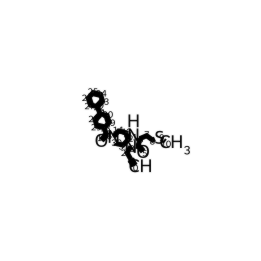 C#CCN1C(=O)C(CCSC)NC12CCN(C(=O)c1ccc(-c3ccccc3)cc1)CC2